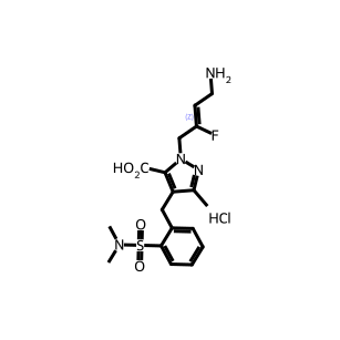 Cc1nn(C/C(F)=C/CN)c(C(=O)O)c1Cc1ccccc1S(=O)(=O)N(C)C.Cl